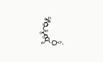 CCS(=O)(=O)c1ccc(CNC(=O)c2cc3c(o2)[C@H](C(C)C)N(C[C@H]2CC[C@H](C(F)(F)F)CC2)C3)nc1